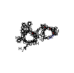 COc1cc2cc(c1Cl)N(C)C(=O)C[C@H](OC(=O)[C@H](C)N(C)C(=O)CCSSC[C@H](NC(=O)[C@@H]1CSSC[C@H](NC(=O)[C@@H](Cc3ccccc3)NCc3ccccc3)C(=O)N[C@@H](Cc3ccc(O)cc3)C(=O)N[C@H](Cc3c[nH]c4ccccc34)C(=O)N[C@@H](CCCCN)C(=O)N[C@@H]([C@@H](C)O)C(=O)N1)C(N)=O)C(C)(C)O[C@H](C)[C@@H]1C[C@@](O)(NC(=O)O1)[C@H](OC)/C=C/C=C(\C)C2